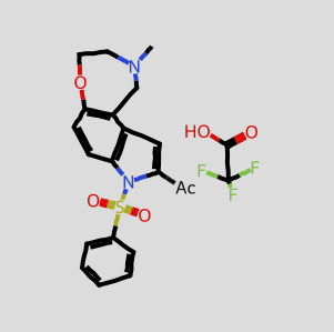 CC(=O)c1cc2c3c(ccc2n1S(=O)(=O)c1ccccc1)OCCN(C)C3.O=C(O)C(F)(F)F